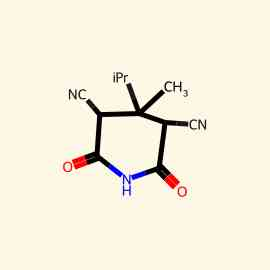 CC(C)C1(C)C(C#N)C(=O)NC(=O)C1C#N